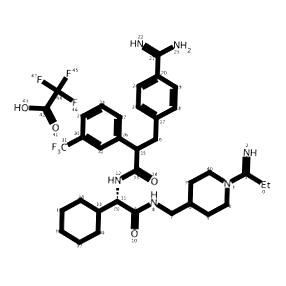 CCC(=N)N1CCC(CNC(=O)[C@@H](NC(=O)C(Cc2ccc(C(=N)N)cc2)c2cccc(C(F)(F)F)c2)C2CCCCC2)CC1.O=C(O)C(F)(F)F